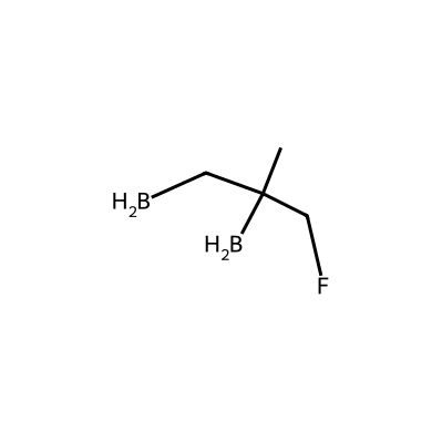 BCC(B)(C)CF